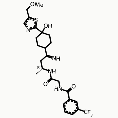 COCc1cnc(C2(O)CCC(C(=N)C[C@@H](C)NC(=O)CNC(=O)c3cccc(C(F)(F)F)c3)CC2)s1